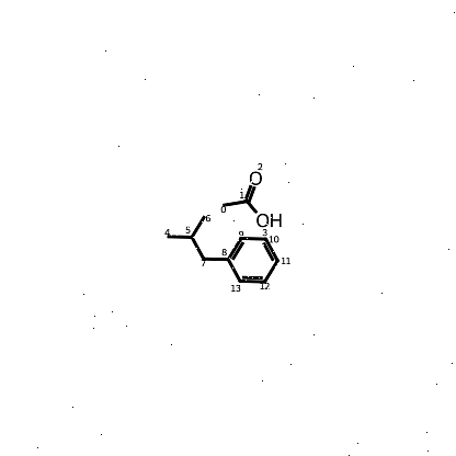 CC(=O)O.CC(C)Cc1ccccc1